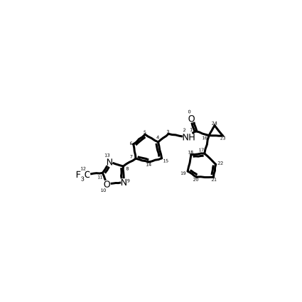 O=C(NCc1ccc(-c2noc(C(F)(F)F)n2)cc1)C1(c2ccccc2)CC1